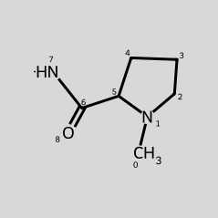 CN1CCCC1C([NH])=O